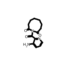 Nc1cccnc1C(=O)N1C(=O)CCCCCCC1=O